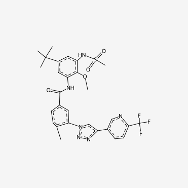 COc1c(NC(=O)c2ccc(C)c(-n3cc(-c4ccc(C(F)(F)F)nc4)nn3)c2)cc(C(C)(C)C)cc1NS(C)(=O)=O